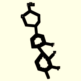 CCCCC1CCC(c2ccc(-c3ccc(C)c(F)c3F)c(F)c2)CO1